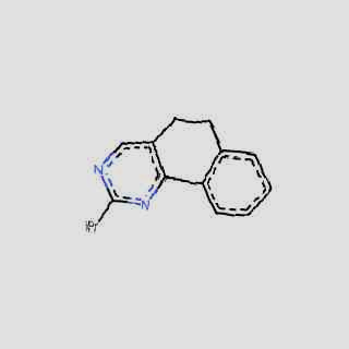 CC(C)c1ncc2c(n1)-c1ccccc1CC2